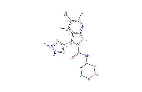 Cc1nc2sc(C(=O)NC3CCCOC3)c(-c3cnn(C)c3)c2c(C)c1Cl